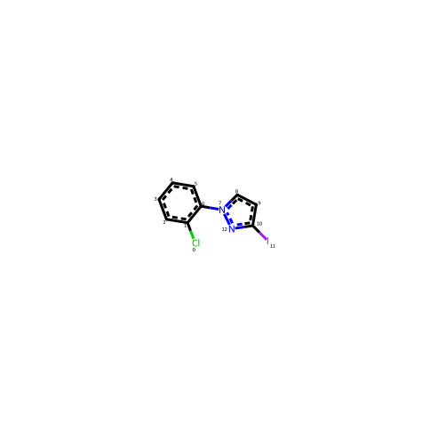 Clc1ccccc1-n1[c]cc(I)n1